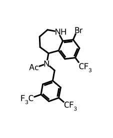 CC(=O)N(Cc1cc(C(F)(F)F)cc(C(F)(F)F)c1)C1CCCNc2c(Br)cc(C(F)(F)F)cc21